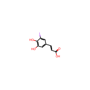 O=C(O)/C=C/c1cc(O)c(O)c(I)c1